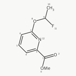 COC(=O)c1cccc(OC(C)F)n1